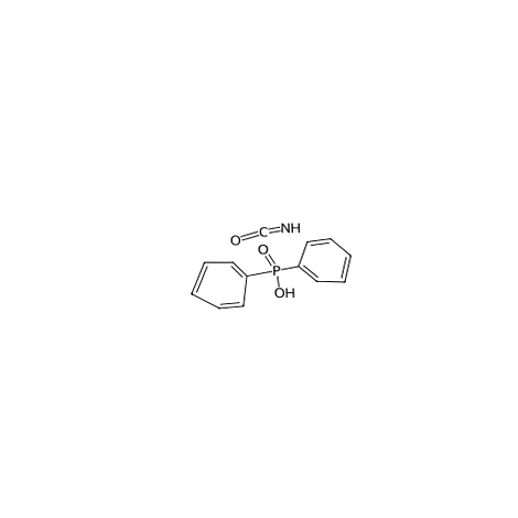 N=C=O.O=P(O)(c1ccccc1)c1ccccc1